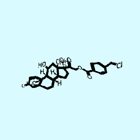 C[C@]12C=CC(=O)C=C1CC[C@@H]1[C@@H]2C(O)C[C@@]2(C)[C@H]1CC[C@]2(O)C(=O)COC(=O)c1ccc(CCl)cc1